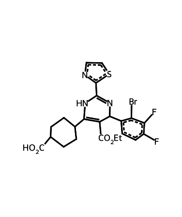 CCOC(=O)C1=C(C2CCC(C(=O)O)CC2)NC(c2nccs2)=NC1c1ccc(F)c(F)c1Br